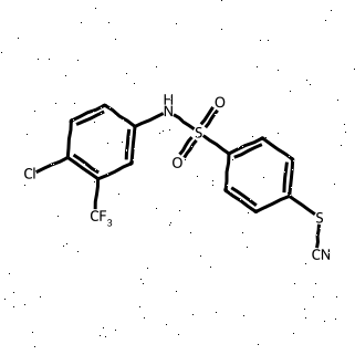 N#CSc1ccc(S(=O)(=O)Nc2ccc(Cl)c(C(F)(F)F)c2)cc1